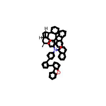 C[C@H]1C[C@@H]2C[C@@H]3C[C@H](C1)C21c2ccc(N(c4ccc(-c5ccccc5-c5cccc6oc7ccccc7c56)cc4)c4cccc5ccccc45)cc2C2(c4ccccc4-c4ccccc42)c2ccccc2C31